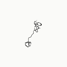 COP(=O)(CC(=O)CCCCCc1ccco1)OC